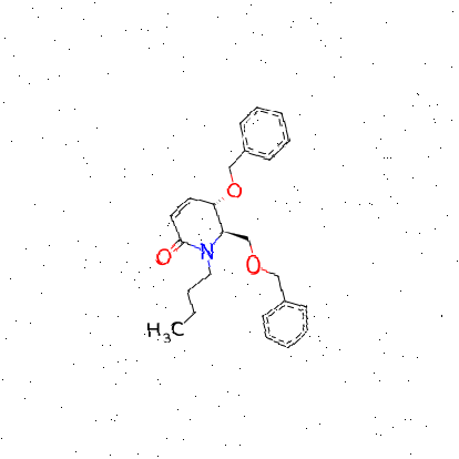 CCCCN1C(=O)C=C[C@H](OCc2ccccc2)[C@H]1COCc1ccccc1